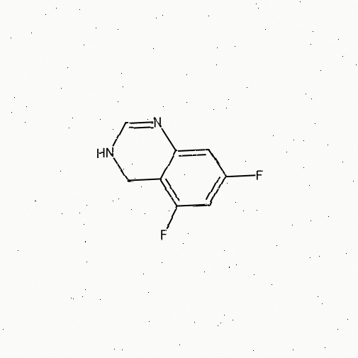 Fc1cc(F)c2c(c1)N=CNC2